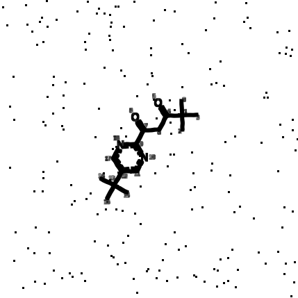 CC(C)(C)C(=O)CC(=O)c1ncc(C(C)(C)C)cn1